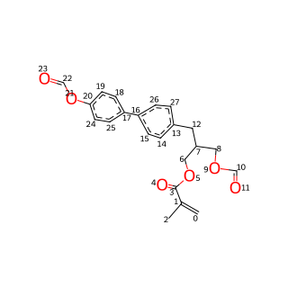 C=C(C)C(=O)OCC(COC=O)Cc1ccc(-c2ccc(OC=O)cc2)cc1